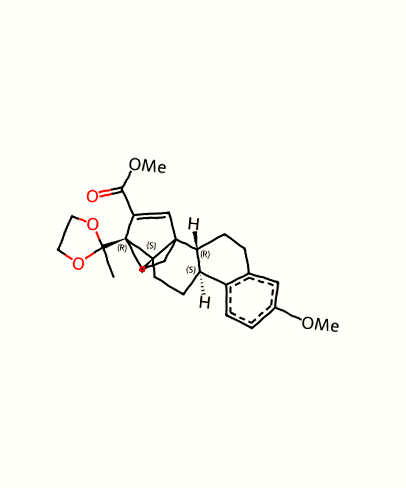 COC(=O)C1=CC23CC[C@@]1(C1(C)OCCO1)[C@@]2(C)CC[C@@H]1c2ccc(OC)cc2CC[C@H]13